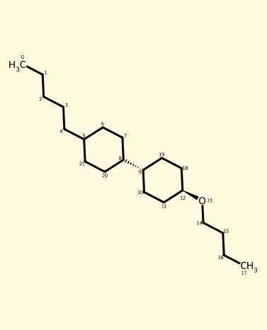 CCCCCC1CCC([C@H]2CC[C@H](OCCCC)CC2)CC1